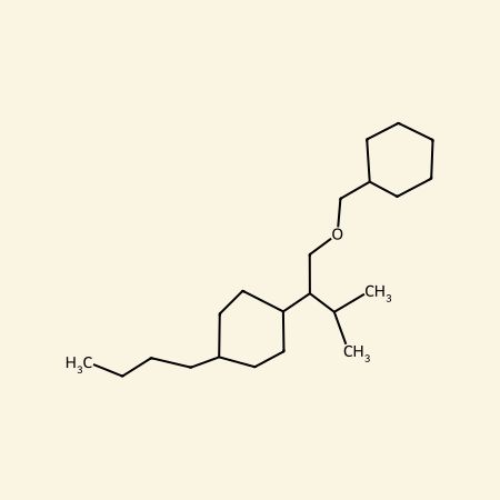 CCCCC1CCC(C(COCC2CCCCC2)C(C)C)CC1